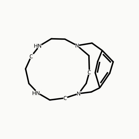 c1cc2ccc1CN1CCCN(CCNCCCNCC1)C2